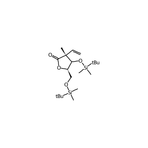 C=C[C@@]1(C)C(=O)O[C@H](CO[Si](C)(C)C(C)(C)C)C1O[Si](C)(C)C(C)(C)C